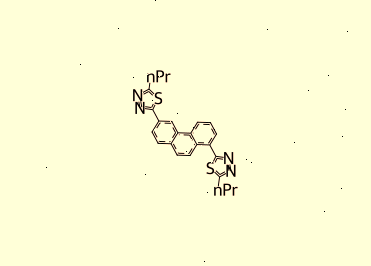 CCCc1nnc(-c2ccc3ccc4c(-c5nnc(CCC)s5)cccc4c3c2)s1